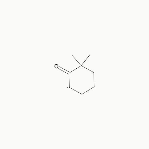 CC1(C)CCC[CH]C1=O